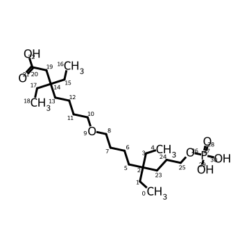 CCC(CC)(CCCCOCCCCC(CC)(CC)CC(=O)O)CCCOP(=O)(O)O